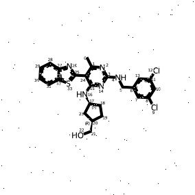 Cc1nc(NCc2cc(Cl)cc(Cl)c2)nc(N[C@H]2CC[C@@H](CO)C2)c1-c1nc2ccccc2s1